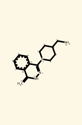 C=C1NN=C(N2CCC(CN)CC2)c2ccccc21